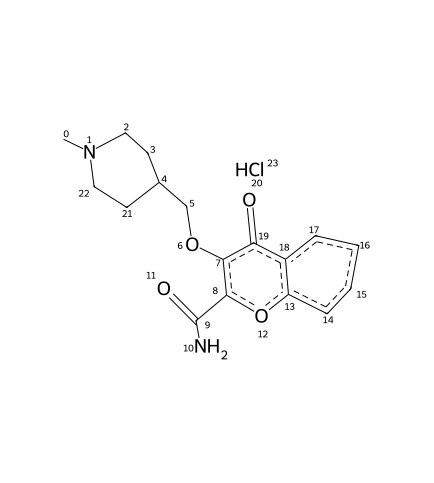 CN1CCC(COc2c(C(N)=O)oc3ccccc3c2=O)CC1.Cl